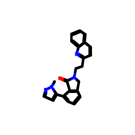 Cn1nccc1-c1cccc2c1C(=O)N(CCc1ccc3ccccc3n1)C2